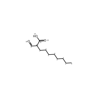 CCCCCCCCC(C=O)C(=O)O